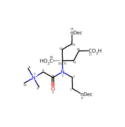 CCCCCCCCCCCCN(C(=O)C[N+](C)(C)C)[C@@](CCCCCCCCCCCC)(CCC(=O)O)C(=O)O